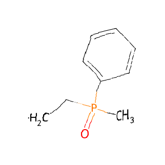 [CH2]CP(C)(=O)c1ccccc1